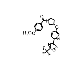 COc1ccc(C(=O)N2CCC(Oc3ccc(-c4noc(C(F)(F)F)n4)nc3)C2)cc1